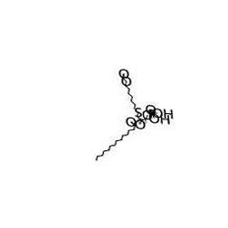 CCCCCCCCCCCCCC(=O)O[C@H](COP(=O)(O)O)CSCCCCCCCOC=O